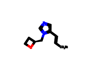 CCOC(=O)/C=C/c1cncn1C[C@@H]1CCO1